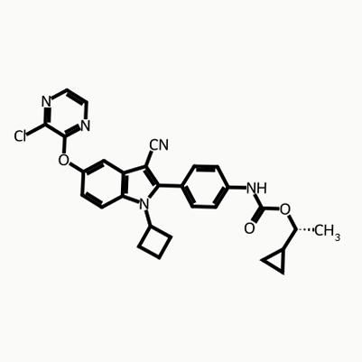 C[C@@H](OC(=O)Nc1ccc(-c2c(C#N)c3cc(Oc4nccnc4Cl)ccc3n2C2CCC2)cc1)C1CC1